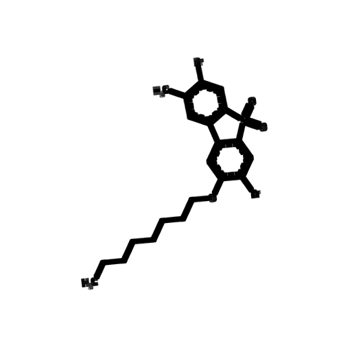 CCCCCCCCOc1cc2c(cc1Br)S(=O)(=O)c1cc(Br)c(C)cc1-2